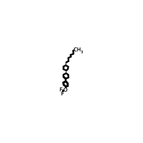 CCCCCCCC[C@H]1CC[C@H](C2CC=C(c3ccc(OC(F)F)cc3)CC2)CC1